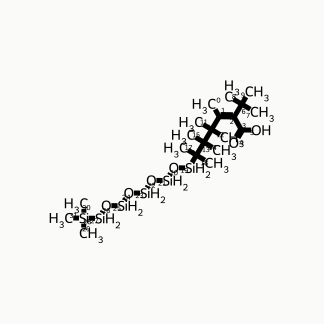 CC(=C(C(=O)O)C(C)(C)C)C(C)(C)C(C)(C)C(C)(C)[SiH2]O[SiH2]O[SiH2]O[SiH2]O[SiH2][Si](C)(C)C